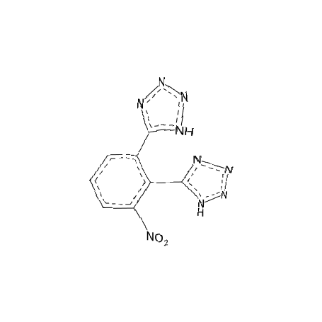 O=[N+]([O-])c1cccc(-c2nnn[nH]2)c1-c1nnn[nH]1